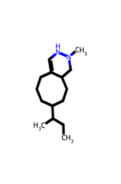 CCC(C)C1CCCC2=CNN(C)CC2CC1